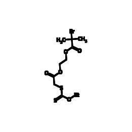 CCOC(=S)SCC(=O)OCCOC(=O)C(C)(C)Br